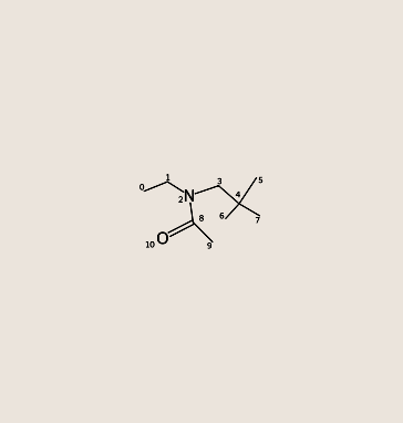 CCN(CC(C)(C)C)C(C)=O